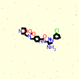 Nc1cn(-c2cccc(Cl)c2)nc1NC(=O)c1ccc(CN(Cc2cccnc2)C(=O)O)cc1